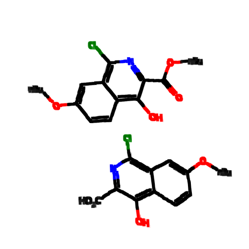 CCCCOC(=O)c1nc(Cl)c2cc(OCCCC)ccc2c1O.CCCCOc1ccc2c(O)c(C(=O)O)nc(Cl)c2c1